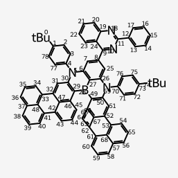 CC(C)(C)c1ccc(N2c3cc(-c4nc(-c5ccccc5)nc5ccccc45)cc4c3B(c3c2cc2c5cccc6cccc(c7cccc3c72)c65)c2c(cc3c5cccc6cccc(c7cccc2c73)c65)N4c2ccc(C(C)(C)C)cc2)cc1